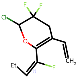 C=CC1=C(/C(F)=C\CC)OC(Cl)C(F)(F)C1